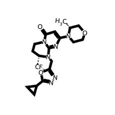 C[C@@H]1COCCN1c1cc(=O)n2c(n1)N(Cc1nnc(C3CC3)o1)[C@H](C(F)(F)F)CC2